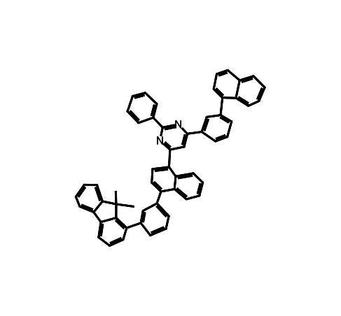 CC1(C)c2ccccc2-c2cccc(-c3cccc(-c4ccc(-c5cc(-c6cccc(-c7cccc8ccccc78)c6)nc(-c6ccccc6)n5)c5ccccc45)c3)c21